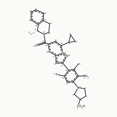 Cc1c(N)c(N2CCC(C(=O)O)C2)cc(F)c1-c1cc2nc(C(=O)N3CCc4ccccc4[C@H]3C)cc(C3CC3)n2n1